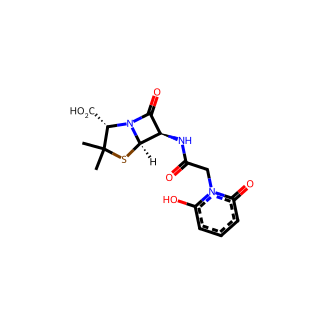 CC1(C)S[C@@H]2[C@H](NC(=O)Cn3c(O)cccc3=O)C(=O)N2[C@H]1C(=O)O